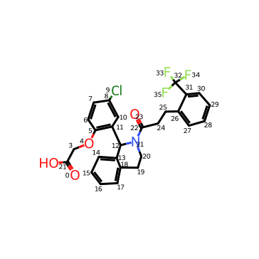 O=C(O)COc1ccc(Cl)cc1C1c2ccccc2CCN1C(=O)CCc1ccccc1C(F)(F)F